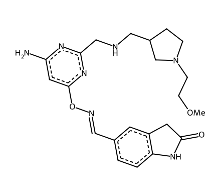 COCCN1CCC(CNCc2nc(N)cc(ON=Cc3ccc4c(c3)CC(=O)N4)n2)C1